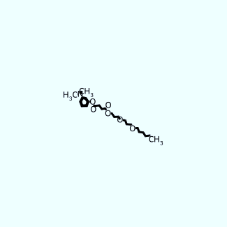 CCCCCCOCCCOCCCOC(=O)CCC(=O)Oc1cccc(N(C)C)c1